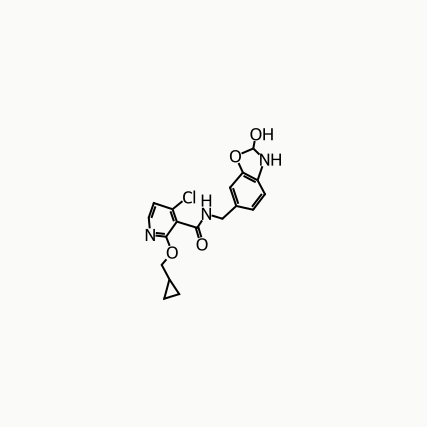 O=C(NCc1ccc2c(c1)OC(O)N2)c1c(Cl)ccnc1OCC1CC1